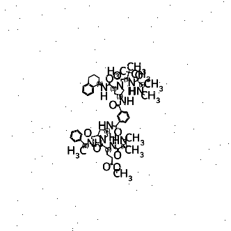 CN[C@@H](C)C(=O)N[C@@H](CCC(=O)OC)C(=O)N1C[C@@H](NC(=O)c2cccc(C(=O)N[C@H]3C[C@@H](C(=O)N[C@@H]4CCCc5ccccc54)N(C(=O)[C@@H](NC(=O)[C@H](C)NC)C(C)(C)C)C3)c2)CC1C(=O)N[C@H](C)c1ccccc1